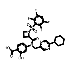 O=C(O)c1ccc(N(Cc2cnc(C3CCCCC3)cn2)C(=O)C2CCN2S(=O)(=O)c2c(F)c(F)cc(F)c2F)cc1O